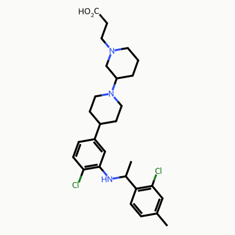 Cc1ccc(C(C)Nc2cc(C3CCN(C4CCCN(CCC(=O)O)C4)CC3)ccc2Cl)c(Cl)c1